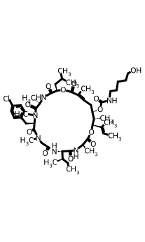 C/C=C(\C)[C@H]1OC(=O)[C@@H](C)NC(=O)[C@H]([C@H](C)CC)NC(=O)CN(C)C(=O)[C@@H](Cc2ccc(Cl)cc2)N(C)C(=O)[C@H](C)NC(=O)[C@@H](CC(C)C)OC(=O)/C(C)=C/C[C@H](OC(=O)NCCCCCO)[C@@H]1C